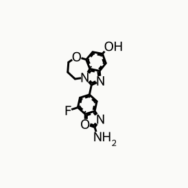 Nc1nc2cc(-c3nc4cc(O)cc5c4n3CCCO5)cc(F)c2o1